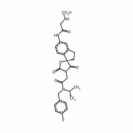 C[C@H](N(Cc1ccc(F)cc1)C(=O)CN1C(=O)O[C@@]2(CCc3cc(NC(=O)CNC(=O)O)ccc32)C1=O)C(F)(F)F